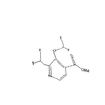 COC(=O)c1ccnc(C(F)F)c1OC(F)F